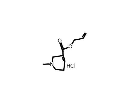 C=CCOC(=O)C1=CCCN(C)C1.Cl